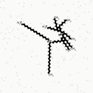 CCCCCCCCCCCCCCCCCC[CH2][Pd][CH2]CCCCCCCCCCCCCCCCCC.CCCCCCc1cc(C2=CC(CCCCC)=C(c3cc(CCCCCC)c(CCCCCC)c(CCCCCC)c3)[N+]2=[N-])cc(CCCCCC)c1CCCCCC